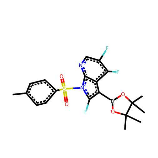 Cc1ccc(S(=O)(=O)n2c(F)c(B3OC(C)(C)C(C)(C)O3)c3c(F)c(F)cnc32)cc1